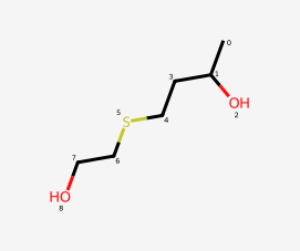 CC(O)CCSCCO